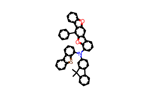 CC1(C)c2ccccc2-c2ccc(N(c3cccc4c3oc3c(-c5ccccc5)c5c(cc34)oc3ccccc35)c3cccc4c3sc3ccccc34)cc21